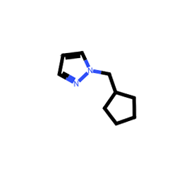 [c]1cnn(CC2CCCC2)c1